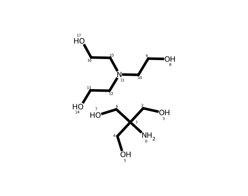 NC(CO)(CO)CO.OCCN(CCO)CCO